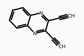 C#Cc1nc2ccccc2nc1C#C